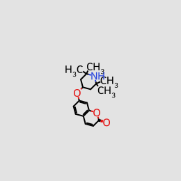 CC1(C)CC(Oc2ccc3ccc(=O)oc3c2)CC(C)(C)N1